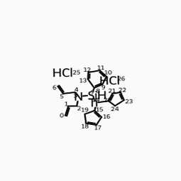 C=CCN(CC=C)[SiH](c1ccccc1)[Ti]([C]1=CC=CC1)[C]1=CC=CC1.Cl.Cl